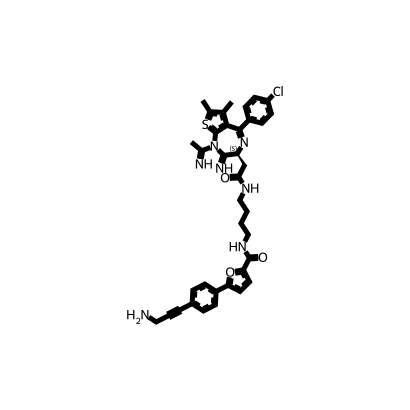 CC(=N)N1C(=N)[C@H](CC(=O)NCCCCNC(=O)c2ccc(-c3ccc(C#CCN)cc3)o2)N=C(c2ccc(Cl)cc2)c2c1sc(C)c2C